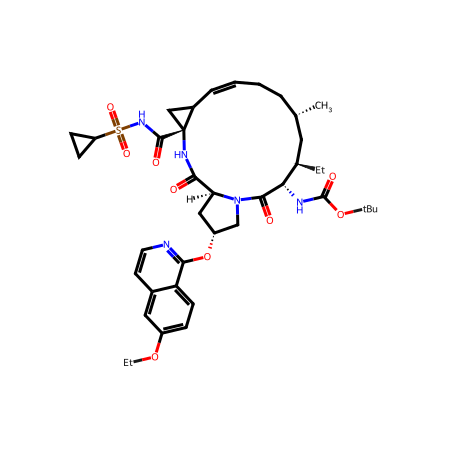 CCOc1ccc2c(O[C@@H]3C[C@H]4C(=O)N[C@]5(C(=O)NS(=O)(=O)C6CC6)CC5/C=C\CC[C@H](C)C[C@@H](CC)[C@H](NC(=O)OC(C)(C)C)C(=O)N4C3)nccc2c1